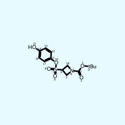 CC(C)(C)OC(=O)N1CC(S(=O)(=O)Oc2ccc(O)cc2)C1